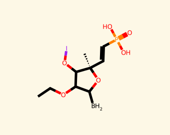 BC1O[C@](C)(/C=C/P(=O)(O)O)C(OI)C1OCC